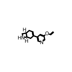 C=COc1cncc(C2=CC[C@@H]3CN[C@@H]3C2)c1